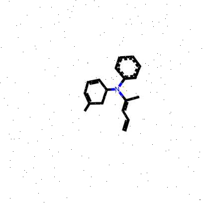 C=C/C=C(\C)N(c1ccccc1)C1C=CC=C(C)C1